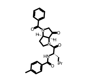 Cc1ccc(C(=O)N[C@@H](CC(C)C)C(=O)N2CC[C@@H]3[C@H]2C(=O)CN3C(=O)c2ccccc2)cc1